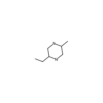 CCC1C[N]C(C)C[N]1